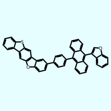 c1ccc2c(-c3c4ccccc4c(-c4ccc(-c5ccc6oc7cc8c(cc7c6c5)sc5ccccc58)cc4)c4ccccc34)coc2c1